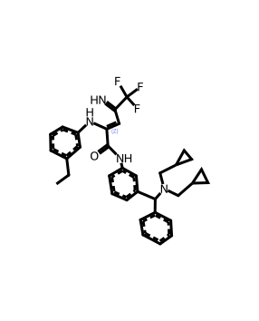 CCc1cccc(N/C(=C\C(=N)C(F)(F)F)C(=O)Nc2cccc(C(c3ccccc3)N(CC3CC3)CC3CC3)c2)c1